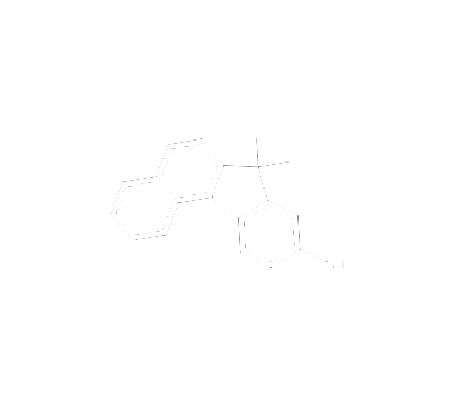 CC1(C)c2cc(N)ccc2-c2c1ccc1ccccc21